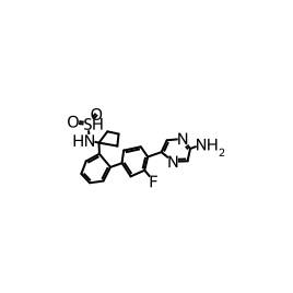 Nc1cnc(-c2ccc(-c3ccccc3C3(N[SH](=O)=O)CCC3)cc2F)cn1